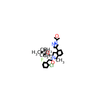 C[C@H]1c2cccc(-c3cnn(C4COC4)c3)c2C[C@H](CO[Si](C)(C)C(C)(C)C)N1C(=O)Cc1c(F)cccc1Cl